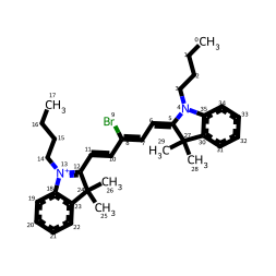 CCCCN1/C(=C/C=C(Br)/C=C/C2=[N+](CCCC)c3ccccc3C2(C)C)C(C)(C)c2ccccc21